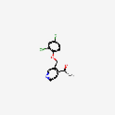 COC(=O)c1ccncc1COc1ccc(Cl)cc1Cl